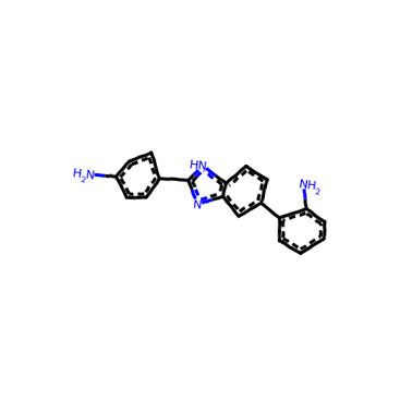 Nc1ccc(-c2nc3cc(-c4ccccc4N)ccc3[nH]2)cc1